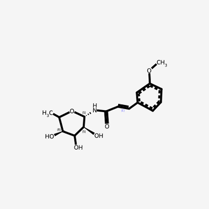 COc1cccc(/C=C/C(=O)N[C@H]2OC(C)[C@H](O)C(O)[C@@H]2O)c1